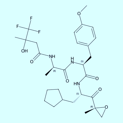 COc1ccc(C[C@H](NC(=O)[C@@H](C)NC(=O)CC(C)(O)C(F)(F)F)C(=O)N[C@@H](CC2CCCC2)C(=O)[C@@]2(C)CO2)cc1